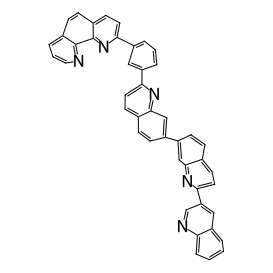 c1cc(-c2ccc3ccc(-c4ccc5ccc(-c6cnc7ccccc7c6)nc5c4)cc3n2)cc(-c2ccc3ccc4cccnc4c3n2)c1